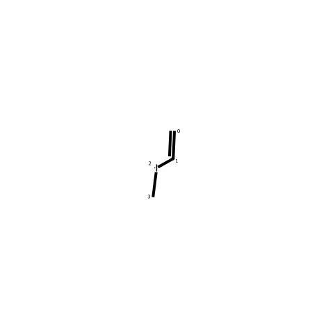 C=C[I]C